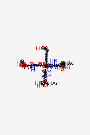 CC(=O)NC1C(OCCCCC(=O)NCCCCC(=O)CCOCC(COCCC(=O)NCCCNC(=O)CCCCOC2OC(CO)C(O)C(O)C2NC(C)=O)(COCCC(=O)NCCCNC(=O)CCCCOC2OC(CO)C(O)C(O)C2NC(C)=O)NC(=O)CCCCCCCCCCC(=O)N2CCC(O)C2)OC(CO)C(O)C1O